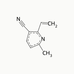 C=Cc1nc(C)ccc1C#N